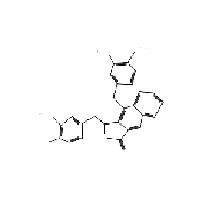 COc1cc(CC2OC(=O)c3cc4ccccc4c(Cc4ccc(OC)c(OC)c4)c32)ccc1O